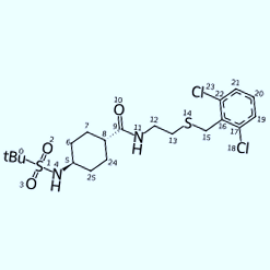 CC(C)(C)S(=O)(=O)N[C@H]1CC[C@H](C(=O)NCCSCc2c(Cl)cccc2Cl)CC1